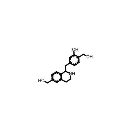 OCc1ccc2c(c1)CCNC2Cc1ccc(CO)c(O)c1